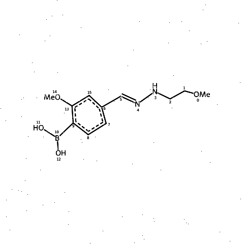 COCCN/N=C/c1ccc(B(O)O)c(OC)c1